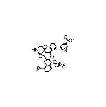 COc1cc(C(=O)[C@H]2C(=O)c3cc(-c4cncc(C(=O)[O-])c4)ccc3OC23CCNCC3)nc2c(C3CC3)cccc12.[Na+]